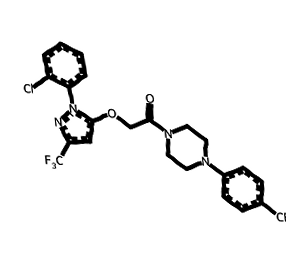 O=C(COc1cc(C(F)(F)F)nn1-c1ccccc1Cl)N1CCN(c2ccc(C(F)(F)F)cc2)CC1